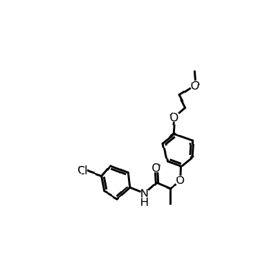 COCCOc1ccc(OC(C)C(=O)Nc2ccc(Cl)cc2)cc1